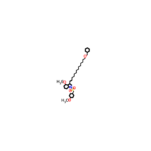 COc1ccc(CS(=O)(=O)n2cc(C=CCCCCCCCCCCCCOCc3ccccc3)c3c(OC)cccc32)cc1